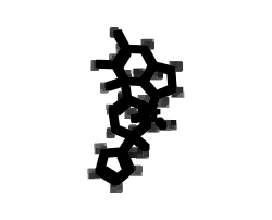 CC1=C(C)C(C)(C2=CCC(C)(C3=CC=CC3)C=C2)C2C(CC[CH]2[Zr]([CH3])[CH3])C1